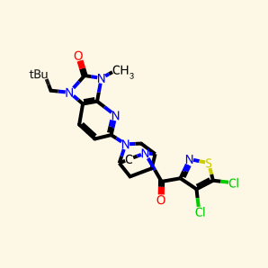 Cn1c(=O)n(CC(C)(C)C)c2ccc(N3CC4CCC3CN4C(=O)c3nsc(Cl)c3Cl)nc21